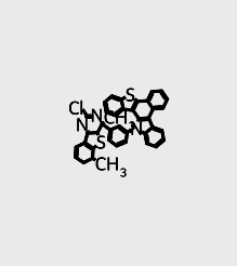 CC1CC=CC2=C1SC1C2=NC(Cl)=NC1(C)c1cccc(-n2c3ccccc3c3c4ccccc4c4sc5ccccc5c4c32)c1